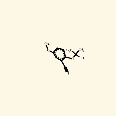 COc1ccc(OC(C)(C)C)c(C#N)c1